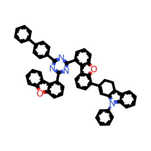 C1=C(c2cccc3c2oc2cccc(-c4nc(-c5ccc(-c6ccccc6)cc5)nc(-c5cccc6oc7ccccc7c56)n4)c23)CCc2c1n(-c1ccccc1)c1ccccc21